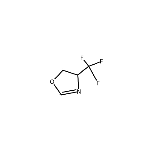 FC(F)(F)C1[CH]O[C]=N1